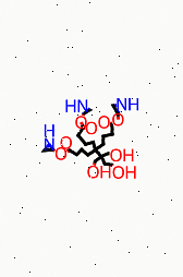 O=C(CCCC(CCCC(=O)OC1CN1)(CCCC(=O)OC1CN1)C(CO)(CO)CCO)OC1CN1